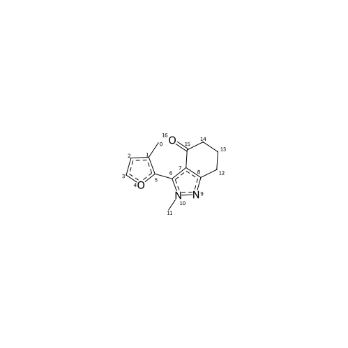 Cc1ccoc1-c1c2c(nn1C)CCCC2=O